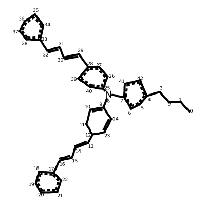 CCCCc1ccc(N(C2=CCC(/C=C/C=C/c3ccccc3)C=C2)c2ccc(/C=C/C=C/c3ccccc3)cc2)cc1